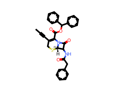 CC#CC1=C(C(=O)OC(c2ccccc2)c2ccccc2)N2C(=O)C(NC(=O)Cc3ccccc3)[C@@H]2SC1